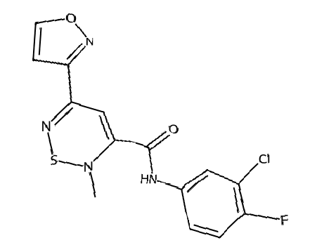 CN1SN=C(c2ccon2)C=C1C(=O)Nc1ccc(F)c(Cl)c1